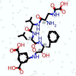 CC(C)C[C@H](NC(=O)C(NC(=O)[C@@H](N)CNC(=O)C(=O)O)C(C)C)C(=O)N[C@@H](Cc1ccccc1)[C@@H](O)C(=O)Nc1cc(C(=O)O)cc(C(=O)O)c1